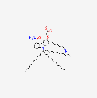 CCCCCCCCCCC(CCCCCCCCCC)(CCCCCCCCCC)n1c2cc(CCCCCC#N)c(OCC(=O)OC)cc2c2c(C(N)=O)cccc21